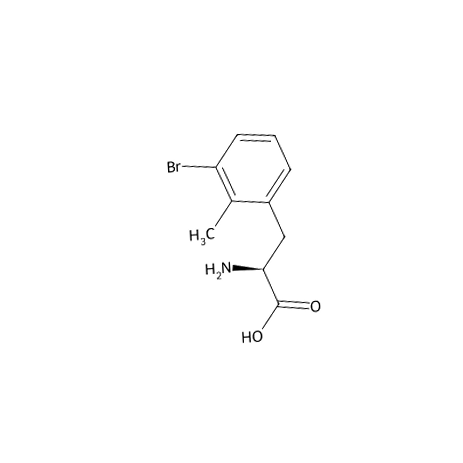 Cc1c(Br)cccc1C[C@H](N)C(=O)O